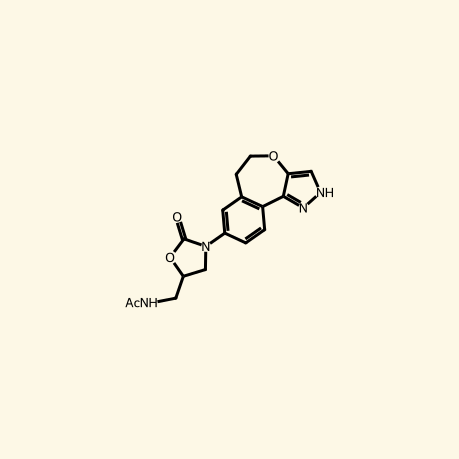 CC(=O)NCC1CN(c2ccc3c(c2)CCOc2c[nH]nc2-3)C(=O)O1